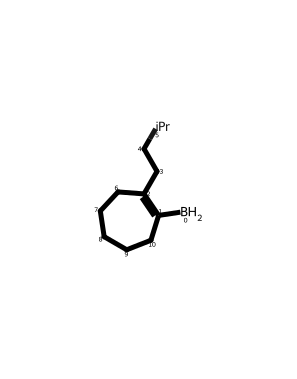 BC1=C(CCC(C)C)CCCCC1